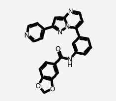 O=C(Nc1cccc(-c2ccnc3cc(-c4ccncc4)nn23)c1)c1ccc2c(c1)OCO2